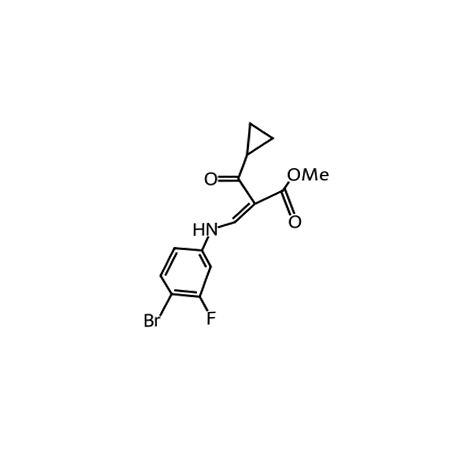 COC(=O)C(=CNc1ccc(Br)c(F)c1)C(=O)C1CC1